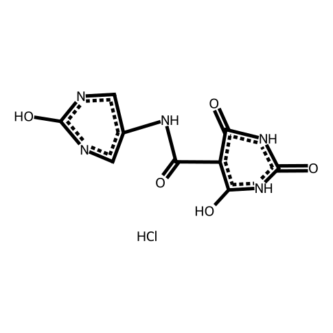 Cl.O=C(Nc1cnc(O)nc1)c1c(O)[nH]c(=O)[nH]c1=O